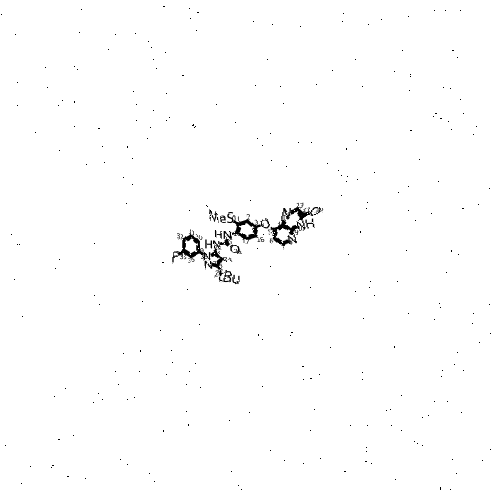 CSc1cc(Oc2ccnc3[nH]c(=O)cnc23)ccc1NC(=O)Nc1cc(C(C)(C)C)nn1-c1cccc(F)c1